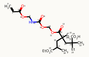 C=CC(=O)OCNC(=O)OCOC(=O)C(C)(CC(C)C(=O)OCC)CC(C)(CC)C(=O)O